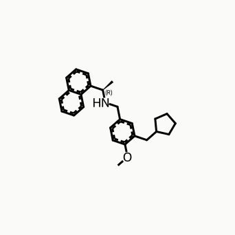 COc1ccc(CN[C@H](C)c2cccc3ccccc23)cc1CC1CCCC1